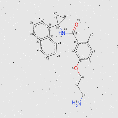 Cc1ccc(OCCCN)cc1C(=O)NC1(c2cccc3ccccc23)CC1